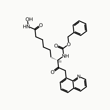 O=C(CCCCC[C@H](NC(=O)OCc1ccccc1)C(=O)Cc1cccc2cccnc12)NO